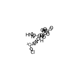 CC(c1cnc2[nH]ccc2c1)c1cc(N2CCN(CC3=C(c4ccc(Cl)cc4)CC(C)(C)CC3)CC2)ccc1C(=O)NS(=O)(=O)c1cc2c(c([N+](=O)[O-])c1)NC(C1CCOCC1)CO2